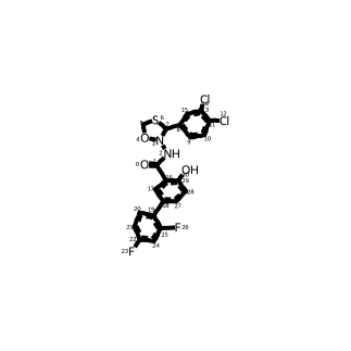 O=C(NN1OCSC1c1ccc(Cl)c(Cl)c1)c1cc(-c2ccc(F)cc2F)ccc1O